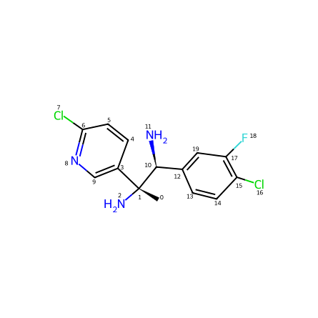 C[C@@](N)(c1ccc(Cl)nc1)[C@@H](N)c1ccc(Cl)c(F)c1